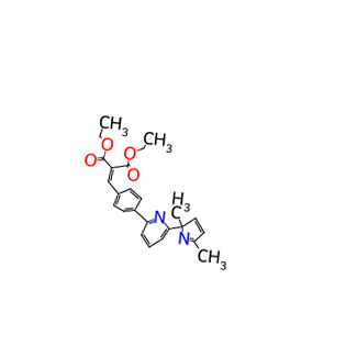 CCOC(=O)C(=Cc1ccc(-c2cccc(C3(C)C=CC(C)=N3)n2)cc1)C(=O)OCC